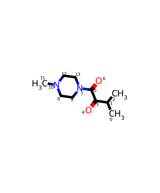 CC(C)C(=O)C(=O)N1CCN(C)CC1